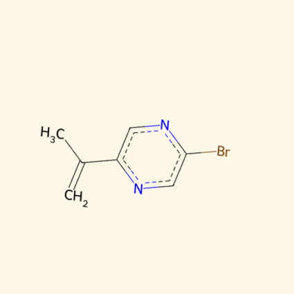 C=C(C)c1cnc(Br)cn1